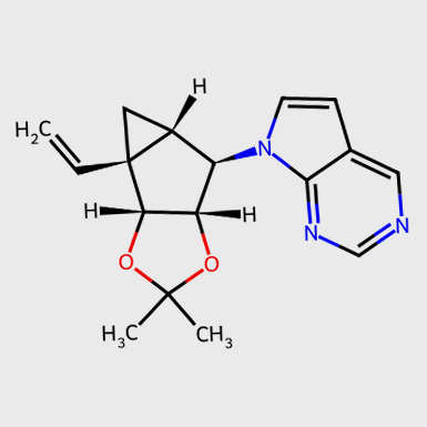 C=C[C@@]12C[C@@H]1[C@@H](n1ccc3cncnc31)[C@@H]1OC(C)(C)O[C@@H]12